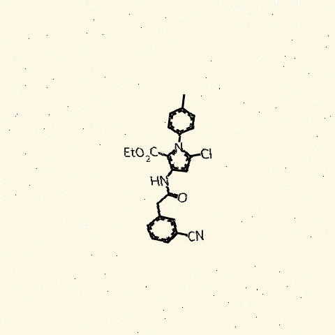 CCOC(=O)c1c(NC(=O)Cc2cccc(C#N)c2)cc(Cl)n1-c1ccc(C)cc1